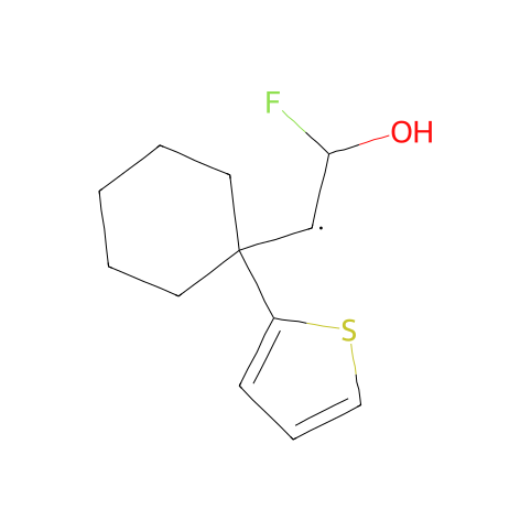 OC(F)[CH]C1(c2cccs2)CCCCC1